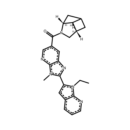 CCn1c(-c2nc3cc(C(=O)N4C[C@H]5CC6C[C@@H]4[C@H]65)cnc3n2C)cc2cccnc21